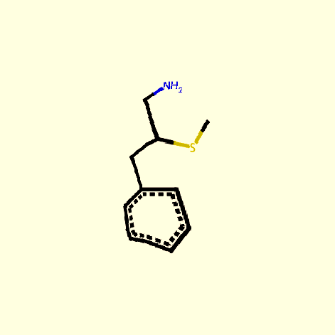 CSC(CN)Cc1ccccc1